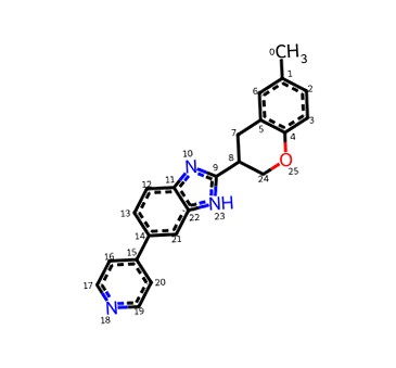 Cc1ccc2c(c1)CC(c1nc3ccc(-c4ccncc4)cc3[nH]1)CO2